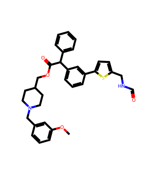 COc1cccc(CN2CCC(COC(=O)C(c3ccccc3)c3cccc(-c4ccc(CNC=O)s4)c3)CC2)c1